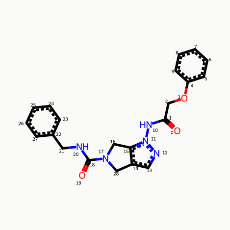 O=C(COc1ccccc1)Nn1ncc2c1CN(C(=O)NCc1ccccc1)C2